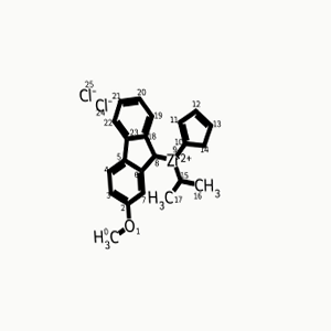 COc1ccc2c(c1)[CH]([Zr+2]([C]1=CC=CC1)[CH](C)C)c1ccccc1-2.[Cl-].[Cl-]